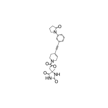 CC1(CS(=O)(=O)N2CC=C(C#Cc3cccc(N4CCCC4=O)c3)CC2)NC(=O)NC1=O